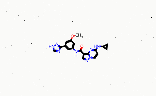 COc1cc(NC(=O)c2cnn3ccc(NC4CC4)nc23)cc(-c2nc[nH]n2)c1